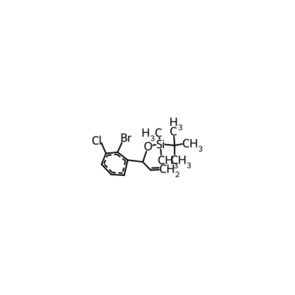 C=CC(O[Si](C)(C)C(C)(C)C)c1cccc(Cl)c1Br